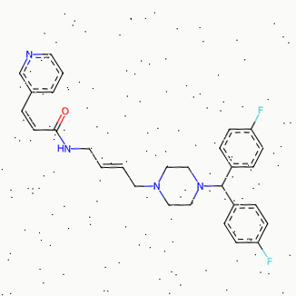 O=C(/C=C\c1cccnc1)NC/C=C/CN1CCN(C(c2ccc(F)cc2)c2ccc(F)cc2)CC1